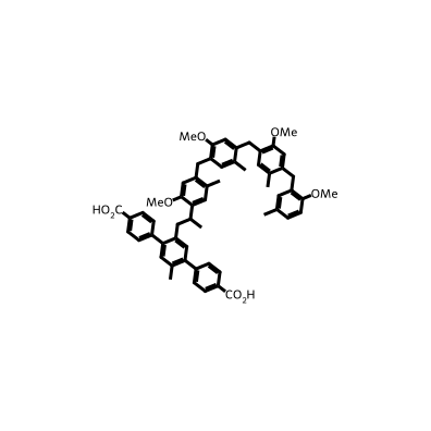 COc1ccc(C)cc1Cc1cc(OC)c(Cc2cc(OC)c(Cc3cc(OC)c(C(C)Cc4cc(-c5ccc(C(=O)O)cc5)c(C)cc4-c4ccc(C(=O)O)cc4)cc3C)cc2C)cc1C